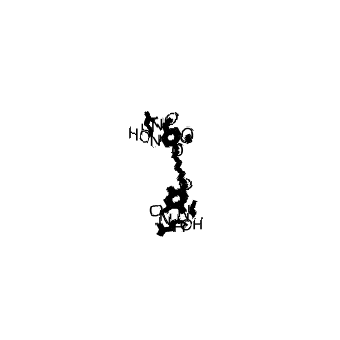 C=C1C[C@H]2[C@H](O)N(C)c3cc(OCCCCCOc4cc5c(cc4C)C(=O)N4CC(=C)C[C@H]4[C@H](O)N5C(C)C)c(OC)cc3C(=O)N2C1